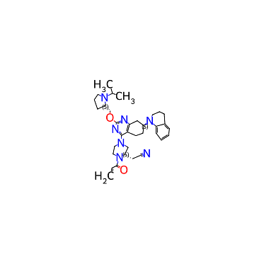 C=CC(=O)N1CCN(c2nc(OC[C@@H]3CCCN3C(C)C)nc3c2CC[C@H](N2CCCc4ccccc42)C3)C[C@@H]1CC#N